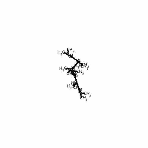 CCCCCC(CCCCC)CCOC(=O)CCCCCCCCC(CCCCCCCCC(=O)OCCC(CCCCC)CC(CCC)C(CCCC)C(CCCCC)CCOC(=O)CCCCCCCCC1(CCCCCCCCC(=O)OCCC(CCCCC)CCCCC)OCC(CCN(C)C(C)C)O1)NC(=O)CN(C)CC